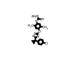 CNC(=Nc1cc(C)c(Oc2nc(C3(c4ccc(Cl)cc4)CC3)ns2)cc1C)C(C)C